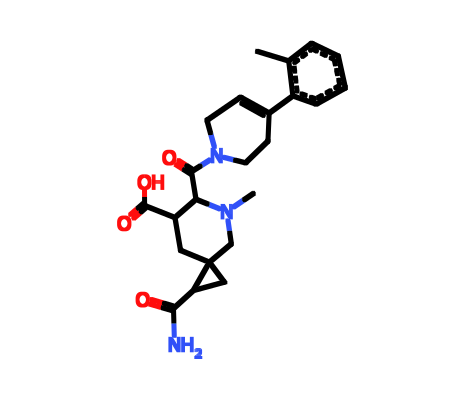 Cc1ccccc1C1=CCN(C(=O)C2C(C(=O)O)CC3(CC3C(N)=O)CN2C)CC1